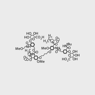 C=C1C[C@@H](C2OCCO2)N(C(=O)c2cc(OC)c(OCCCCCOc3cc(NC(=O)OCc4ccc(O[C@@H]5O[C@H](C(=O)O)[C@@H](O)[C@H](O)[C@H]5O)c(C(=O)NC(C)(C)C)c4)c(C(=O)N4CC(C)(C)C[C@H]4C4OCCO4)cc3OC)cc2NC(=O)OCc2ccc(O[C@@H]3O[C@H](C(=O)O)[C@@H](O)[C@H](O)[C@H]3O)c(C(=O)NCCOC)c2)C1